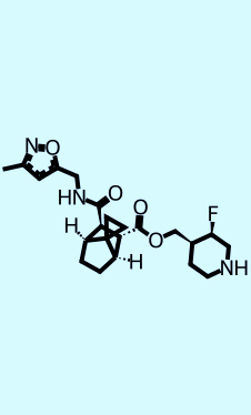 Cc1cc(CNC(=O)[C@H]2[C@H](C(=O)OC[C@@H]3CCNC[C@@H]3F)[C@H]3CC[C@@H]2C32CC2)on1